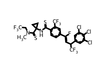 CN(CC(F)(F)F)C(=S)C1(NC(=S)c2ccc(/C(F)=C/C(c3cc(Cl)c(Cl)c(Cl)c3)C(F)(F)F)cc2C(F)(F)F)CC1